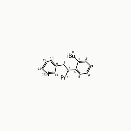 CCC(C)c1ccccc1[C](Cc1cccnc1)C(C)C